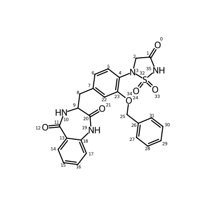 O=C1CN(c2ccc(CC3NC(=O)c4ccccc4NC3=O)cc2OCc2ccccc2)S(=O)(=O)N1